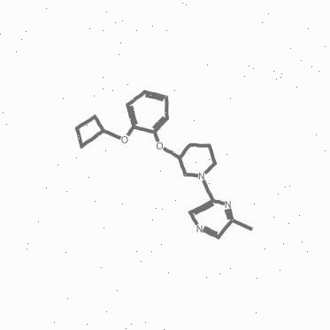 Cc1cncc(N2CCCC(Oc3ccccc3OC3CCC3)C2)n1